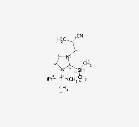 CC(C#N)CN1CCN(C(C)(C)C(C)C)C1[SiH](C)C